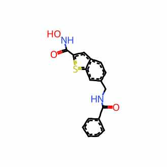 O=C(NCc1ccc2cc(C(=O)NO)sc2c1)c1ccccc1